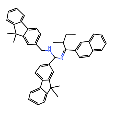 CCC(C)/C(=N\C(NCc1ccc2c(c1)C(C)(C)c1ccccc1-2)c1ccc2c(c1)C(C)(C)c1ccccc1-2)c1ccc2ccccc2c1